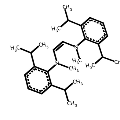 CC(C)c1cccc(C(C)C)c1N(C)/C=C\N(C)c1c(C(C)C)cccc1C(C)C